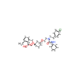 Cc1cccc(CO[C@@H]2CCC[C@H](OCCN(CCc3ccc(Cl)cc3)C(=O)Nc3ccccc3)C2)c1C(=O)O